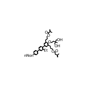 C=C(C)CC(=O)OCCCc1cc(-c2ccc(-c3ccc(CCCCCCCCC)cc3)cc2CC)cc(CCCOC(=O)C(=C)C)c1OCCC(C)(CO)CO